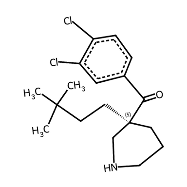 CC(C)(C)CC[C@]1(C(=O)c2ccc(Cl)c(Cl)c2)CCCNC1